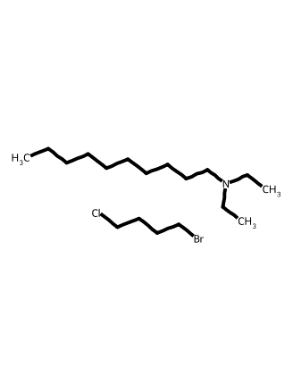 CCCCCCCCCCN(CC)CC.ClCCCCBr